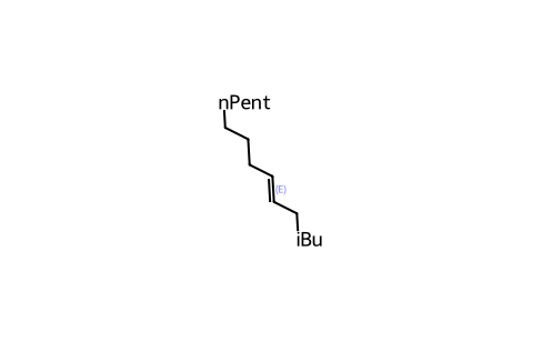 CCCCCCCC/C=C/CC(C)CC